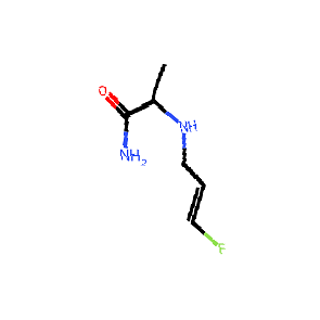 CC(NCC=CF)C(N)=O